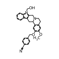 COc1cc2c(cc1OCc1ccc(C#N)cc1)C1Cc3c(n(CO)c4ccccc34)CN1CC2